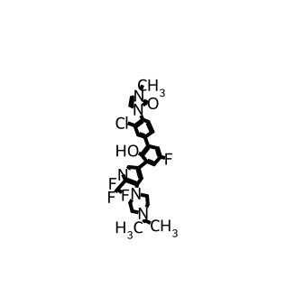 CC(C)N1CCN(c2cc(-c3cc(F)cc(-c4ccc(-n5ccn(C)c5=O)c(Cl)c4)c3O)cnc2C(F)(F)F)CC1